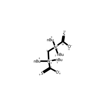 CCCC[N+](CCCC)(C[N+](CCCC)(CCCC)C([O-])=S)C([O-])=S